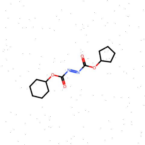 O=C(/N=N/C(=O)OC1CCCC1)OC1CCCCC1